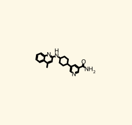 Cc1cc(NC2CCC(c3cncc(C(N)=O)c3)CC2)nc2ccccc12